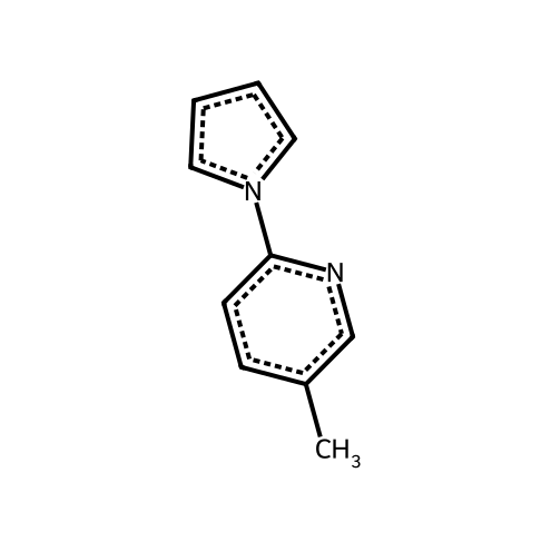 Cc1ccc(-n2cccc2)nc1